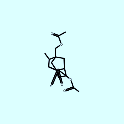 CC(=O)OCC12CC3C4(C1)CC3(OC(C)=O)S(=O)(=O)OC4C2C